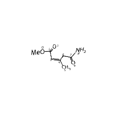 COC(=O)C=C(C)CC(N)=O